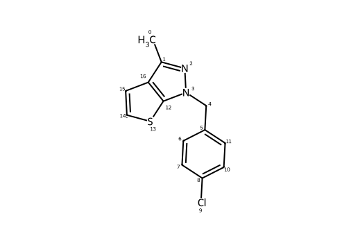 Cc1nn(Cc2ccc(Cl)cc2)c2s[c]cc12